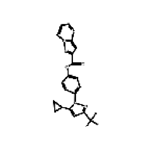 O=C(Nc1ccc(-n2nc(C(F)(F)F)cc2C2CC2)cc1)c1cc2ncccn2n1